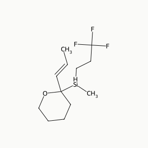 CC=CC1([SiH](C)CCC(F)(F)F)CCCCO1